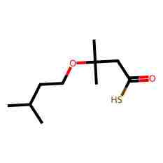 CC(C)CCOC(C)(C)CC(=O)S